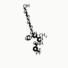 Cc1ncc(NC(=O)c2cccc(C(F)(F)F)c2)cc1-c1cnc(OCCOCCOCCOCCOCCO)c(N2CCOCC2)c1